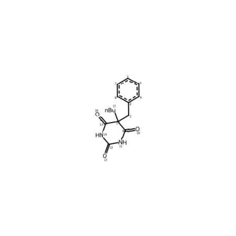 CCCCC1(Cc2ccccc2)C(=O)NC(=O)NC1=O